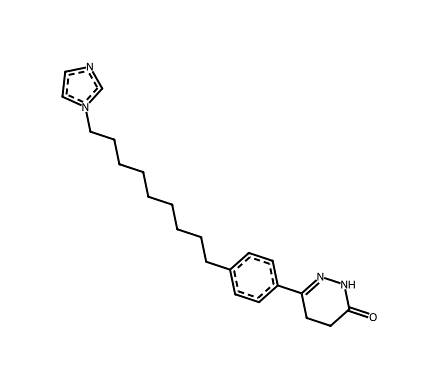 O=C1CCC(c2ccc(CCCCCCCCCn3ccnc3)cc2)=NN1